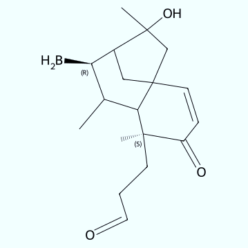 B[C@@H]1C(C)C2C3(C=CC(=O)[C@@]2(C)CCC=O)CC1C(C)(O)C3